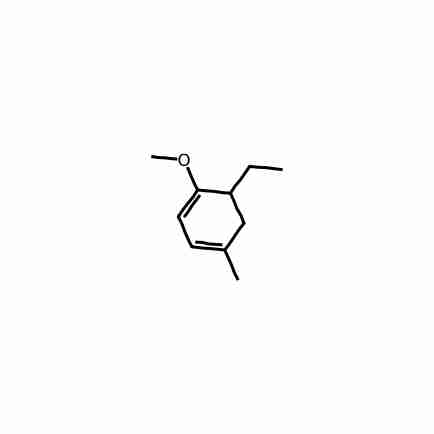 CCC1CC(C)=CC=C1OC